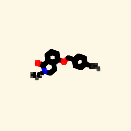 Cc1ccc(COc2cccc3c2CCN(C)C3=O)cc1